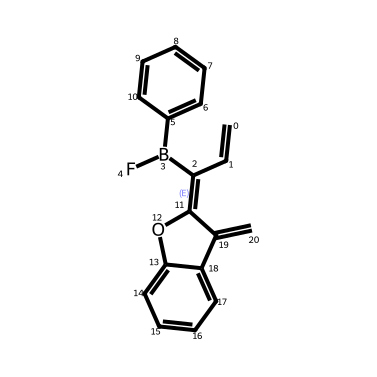 C=C/C(B(F)c1ccccc1)=c1/oc2ccccc2c1=C